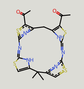 CC(=O)C1=C2Cc3nc(sc3C(C)=O)/N=C3\NC(=CS3)C(C)(C)c3csc(n3)/N=C(\N2)S1